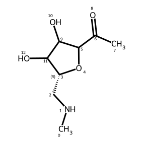 CNC[C@H]1OC(C(C)=O)C(O)C1O